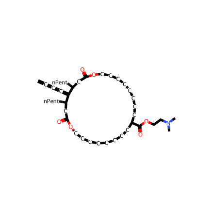 C=C=C=C=C1C(CCCCC)CC(=O)OCCCCCCCCC(C(=O)OCCN(C)C)CCCCCCCCOC(=O)CC1CCCCC